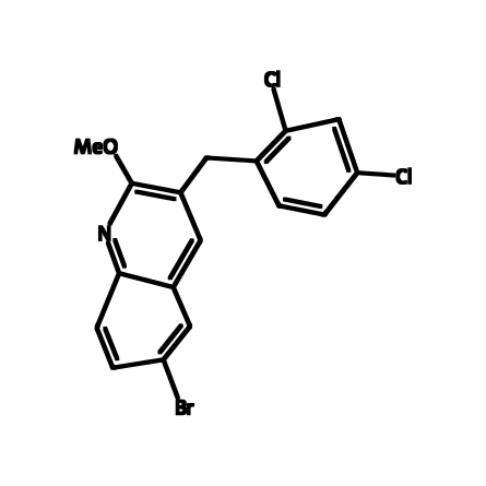 COc1nc2ccc(Br)cc2cc1Cc1ccc(Cl)cc1Cl